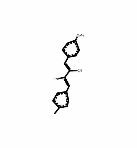 [C-]#[N+]C(=C\c1ccc(C)cc1)/C(C#N)=C/c1ccc(OC)cc1